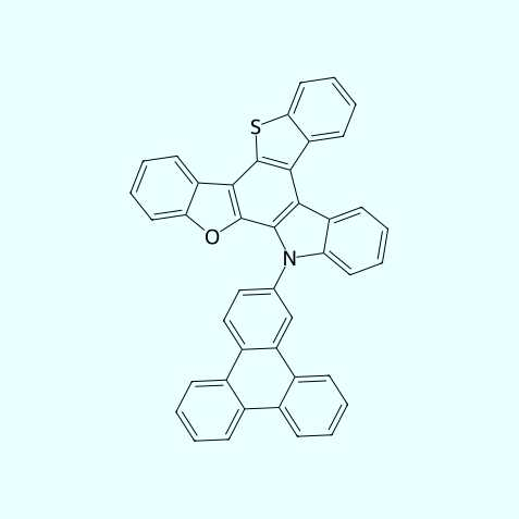 c1ccc2c(c1)oc1c2c2sc3ccccc3c2c2c3ccccc3n(-c3ccc4c5ccccc5c5ccccc5c4c3)c12